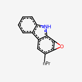 CCCc1cc2c([nH]c3ccccc32)c2c1O2